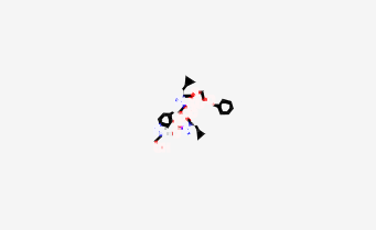 CCN(CCO)c1ccc(C[C@@H](OC(=O)[C@H](CC2CC2)N(C)C(=O)OC(C)(C)C)C(=O)N(C)[C@@H](CC2CC2)C(=O)O[C@H](C)C(=O)OCc2ccccc2)cc1